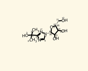 CC(C)(O)c1ncn([C@@H]2O[C@H](CO)C(O)C2O)n1